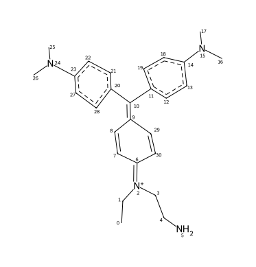 CC[N+](CCN)=C1C=CC(=C(c2ccc(N(C)C)cc2)c2ccc(N(C)C)cc2)C=C1